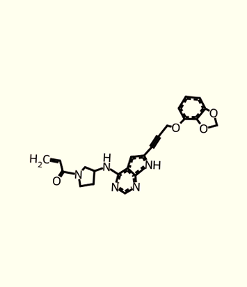 C=CC(=O)N1CCC(Nc2ncnc3[nH]c(C#CCOc4cccc5c4OCO5)cc23)C1